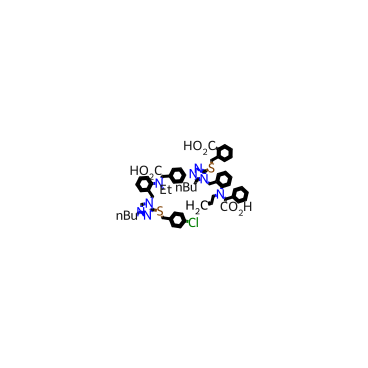 C=CCN(c1ccccc1Cn1c(CCCC)nnc1SCc1ccccc1C(=O)O)C(C(=O)O)c1ccccc1.CCCCN1CN(Cc2ccccc2N(CC)C(C(=O)O)c2ccccc2)C(SCc2ccc(Cl)cc2)=N1